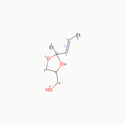 CC/C=C/C1(CC)OCC(CO)O1